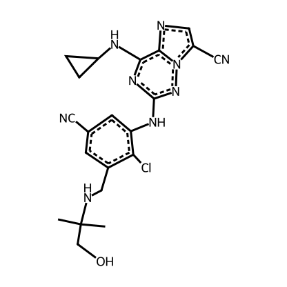 CC(C)(CO)NCc1cc(C#N)cc(Nc2nc(NC3CC3)c3ncc(C#N)n3n2)c1Cl